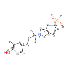 Cc1cc(CCC(C)(C)N2Cc3ccc(S(C)(=O)=O)cc3C2)ccc1O